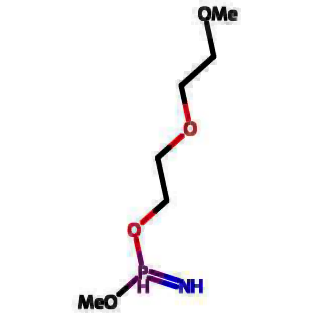 COCCOCCO[PH](=N)OC